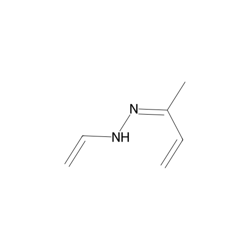 C=CN/N=C(/C)C=C